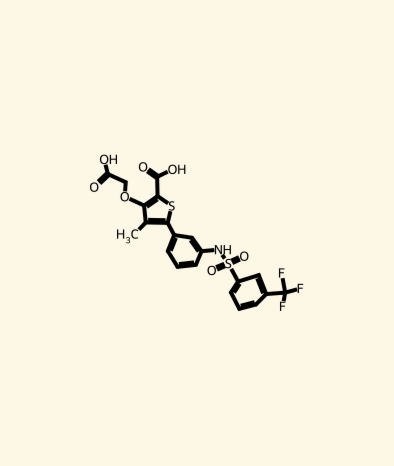 Cc1c(-c2cccc(NS(=O)(=O)c3cccc(C(F)(F)F)c3)c2)sc(C(=O)O)c1OCC(=O)O